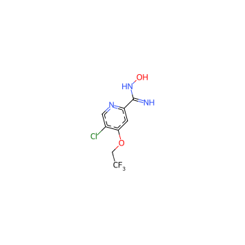 N=C(NO)c1cc(OCC(F)(F)F)c(Cl)cn1